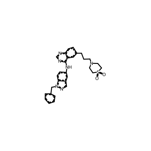 O=S1(=O)CCN(CCCc2ccc3ncnc(Nc4ccc5c(cnn5Cc5ccccc5)c4)c3c2)CC1